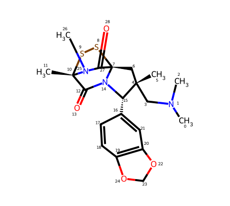 CN(C)C[C@@]1(C)C[C@@]23SS[C@@](C)(C(=O)N2[C@H]1c1ccc2c(c1)OCO2)N(C)C3=O